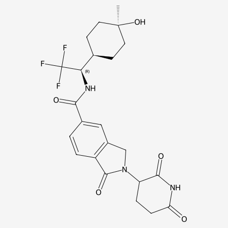 C[C@]1(O)CC[C@@H]([C@@H](NC(=O)c2ccc3c(c2)CN(C2CCC(=O)NC2=O)C3=O)C(F)(F)F)CC1